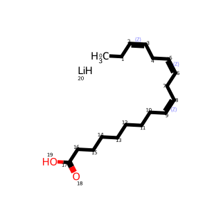 CC/C=C\C/C=C\C/C=C\CCCCCCCC(=O)O.[LiH]